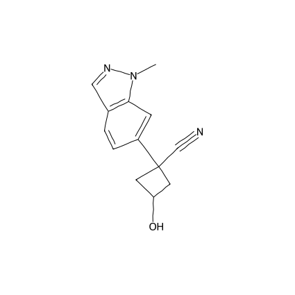 Cn1ncc2ccc(C3(C#N)CC(O)C3)cc21